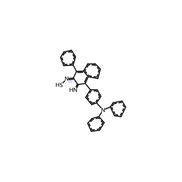 N=C1C(c2ccc(N(c3ccccc3)c3ccccc3)cc2)=c2ccccc2=C(c2ccccc2)/C1=N/S